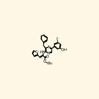 CC(C)(C)OC(=O)/C(=C/c1ccco1)Nc1ncc(-c2cc(O)cc(F)c2)nc1Cc1ccccc1